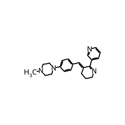 CN1CCN(c2ccc(C=C3CCCN=C3c3cccnc3)cc2)CC1